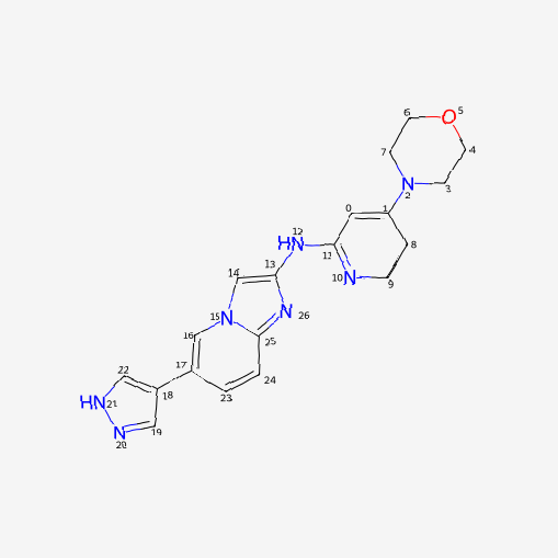 C1=C(N2CCOCC2)CCN=C1Nc1cn2cc(-c3cn[nH]c3)ccc2n1